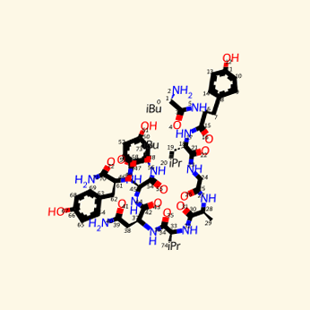 CC[C@H](C)[C@H](N)C(=O)N[C@@H](Cc1ccc(O)cc1)C(=O)N[C@@H](CC(C)C)C(=O)NCC(=O)N[C@@H](C)C(=O)N[C@H](C(=O)N[C@@H](CC(N)=O)C(=O)N[C@@H](Cc1ccc(O)cc1)C(=O)N[C@H](C(=O)N[C@@H](Cc1ccc(O)cc1)C(N)=O)[C@@H](C)CC)C(C)C